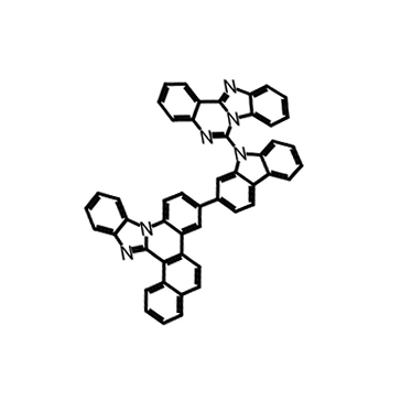 c1ccc2c(c1)ccc1c3cc(-c4ccc5c6ccccc6n(-c6nc7ccccc7c7nc8ccccc8n67)c5c4)ccc3n3c4ccccc4nc3c21